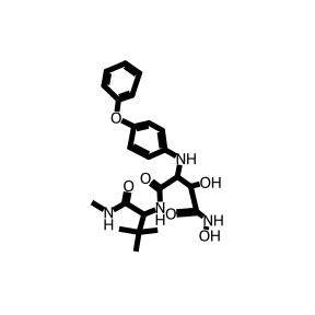 CNC(=O)C(NC(=O)C(Nc1ccc(Oc2ccccc2)cc1)C(O)C(=O)NO)C(C)(C)C